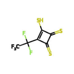 FC(F)(F)C(F)(F)c1c(S)c(=S)c1=S